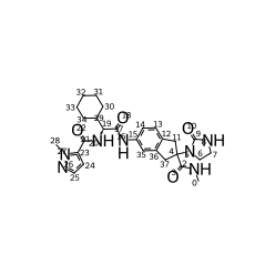 CNC(=O)C1(N2CCNC2=O)Cc2ccc(NC(=O)[C@@H](NC(=O)c3ccnn3C)C3CCCCC3)cc2C1